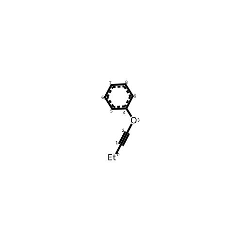 CCC#COc1c[c]ccc1